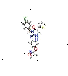 O=c1c(-c2cccs2)c[nH]/c(=N\c2ccc(Oc3ccon3)cc2)n1Cc1ccc(Cl)cc1